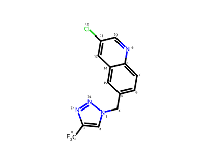 FC(F)(F)c1cn(Cc2ccc3ncc(Cl)cc3c2)nn1